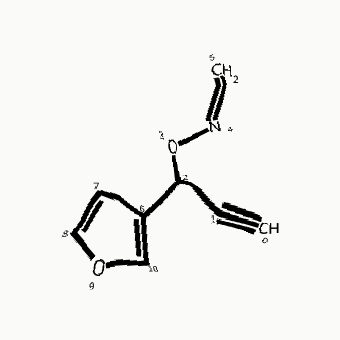 C#CC(ON=C)c1ccoc1